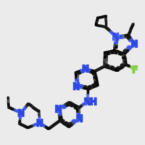 CCN1CCN(Cc2cnc(Nc3cc(-c4cc(F)c5nc(C)n(C6CCC6)c5c4)ncn3)cn2)CC1